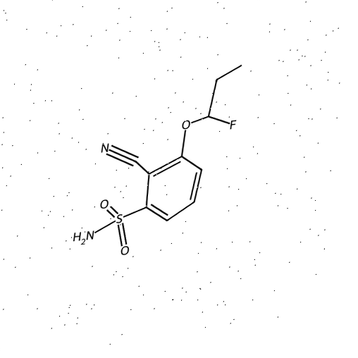 CCC(F)Oc1cccc(S(N)(=O)=O)c1C#N